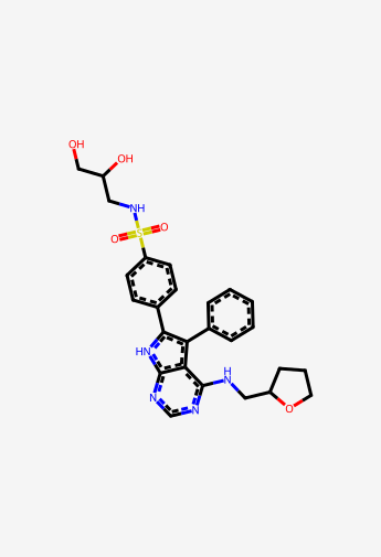 O=S(=O)(NCC(O)CO)c1ccc(-c2[nH]c3ncnc(NCC4CCCO4)c3c2-c2ccccc2)cc1